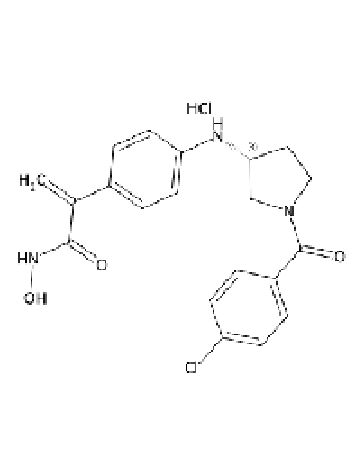 C=C(C(=O)NO)c1ccc(N[C@@H]2CCN(C(=O)c3ccc(Cl)cc3)C2)cc1.Cl